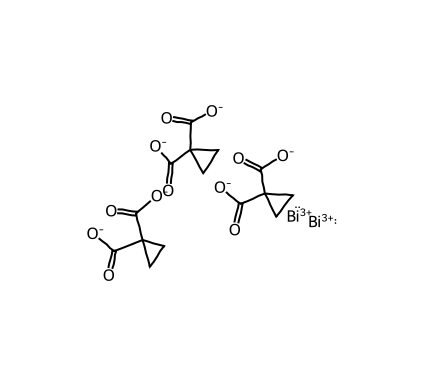 O=C([O-])C1(C(=O)[O-])CC1.O=C([O-])C1(C(=O)[O-])CC1.O=C([O-])C1(C(=O)[O-])CC1.[Bi+3].[Bi+3]